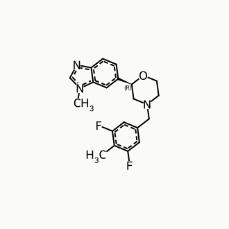 Cc1c(F)cc(CN2CCO[C@H](c3ccc4ncn(C)c4c3)C2)cc1F